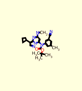 C=Nc1cc(N(C(=O)OC(C)(C)C)c2cc(C)cc(C#N)c2)n2ncc(C3CCC3)c2n1